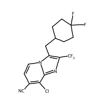 N#Cc1ccn2c(CC3CCC(F)(F)CC3)c(C(F)(F)F)nc2c1Cl